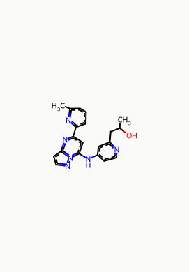 Cc1cccc(-c2cc(Nc3ccnc(CC(C)O)c3)n3nccc3n2)n1